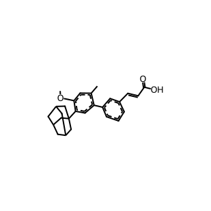 COc1cc(C)c(-c2cccc(C=CC(=O)O)c2)cc1C12CC3CC(CC(C3)C1)C2